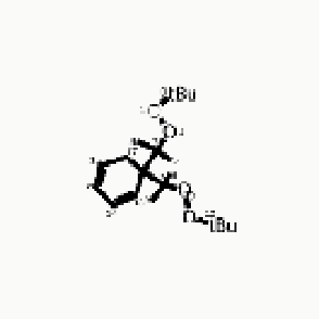 CC(C)(C)OOC(C)(C)C1(C(C)(C)OOC(C)(C)C)C=CC=CC1